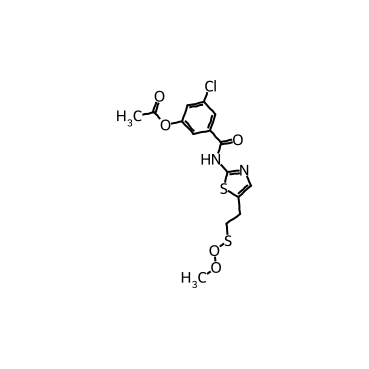 COOSCCc1cnc(NC(=O)c2cc(Cl)cc(OC(C)=O)c2)s1